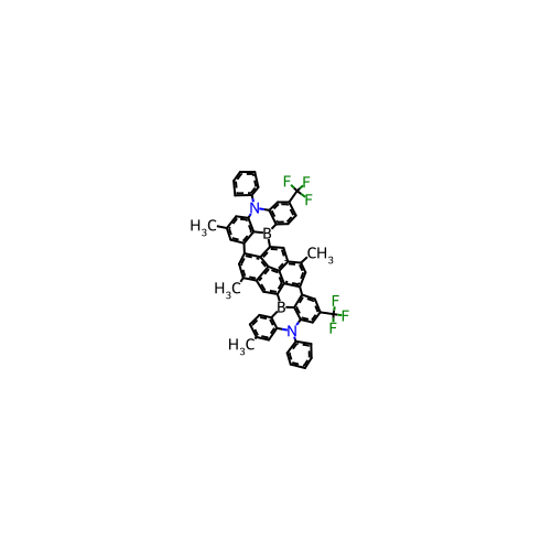 Cc1ccc2c(c1)N(c1ccccc1)c1cc(C(F)(F)F)cc3c1B2c1cc2c(C)cc4c5c(cc6c(C)cc-3c1c6c25)B1c2ccc(C(F)(F)F)cc2N(c2ccccc2)c2cc(C)cc-4c21